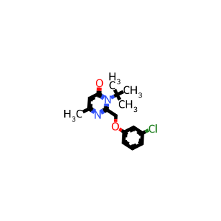 Cc1cc(=O)n(C(C)(C)C)c(COc2cccc(Cl)c2)n1